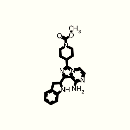 COC(=O)N1CCC(c2nc(C3Cc4ccccc4N3)c3c(N)nccn23)CC1